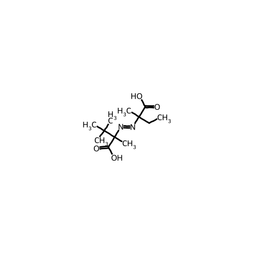 CCC(C)(N=NC(C)(C(=O)O)C(C)(C)C)C(=O)O